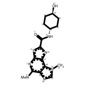 CNc1nc2sc(C(=O)N[C@H]3CC[C@H](O)CC3)nc2c2c1ncn2C